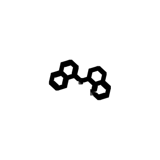 c1cnc2c(c1)CCCC2Sc1cccc2ccccc12